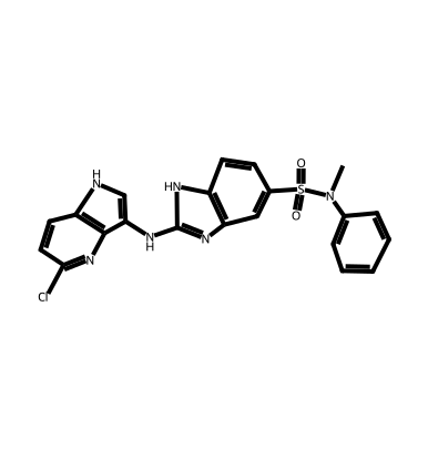 CN(c1ccccc1)S(=O)(=O)c1ccc2[nH]c(Nc3c[nH]c4ccc(Cl)nc34)nc2c1